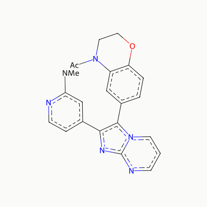 CNc1cc(-c2nc3ncccn3c2-c2ccc3c(c2)N(C(C)=O)CCO3)ccn1